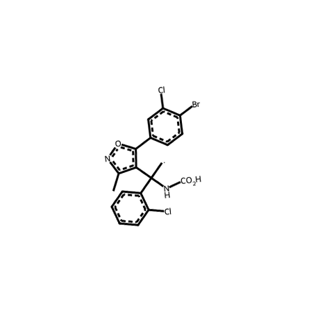 [CH2]C(NC(=O)O)(c1ccccc1Cl)c1c(C)noc1-c1ccc(Br)c(Cl)c1